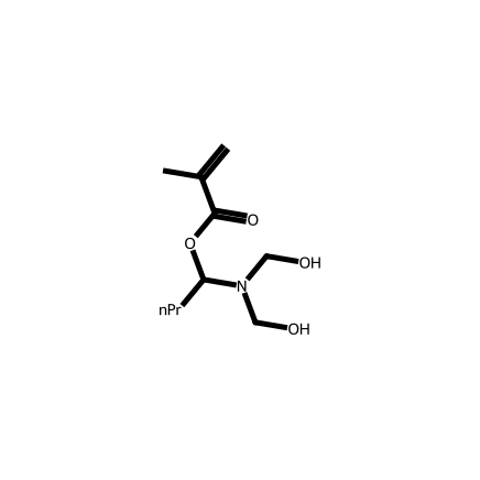 C=C(C)C(=O)OC(CCC)N(CO)CO